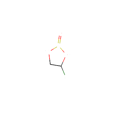 O=S1OCC(Cl)O1